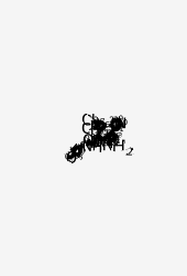 COc1ccc(CNC(=O)Cn2cc(-c3cccc(Cl)c3Cl)c(-c3cc(-c4cccnc4)cnc3N)n2)cc1